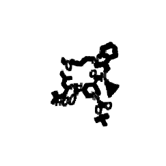 COCCCN1C=C(CN(C(=O)[C@@H]2C[C@H](C(=O)NC(CC(C)C)C(O)C(C)C)CN(C(=O)OC(C)(C)C)C2)C2CC2)C2C=CC=CC21